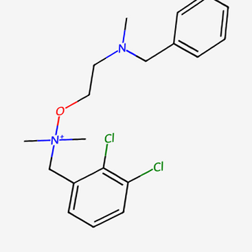 CN(CCO[N+](C)(C)Cc1cccc(Cl)c1Cl)Cc1ccccc1